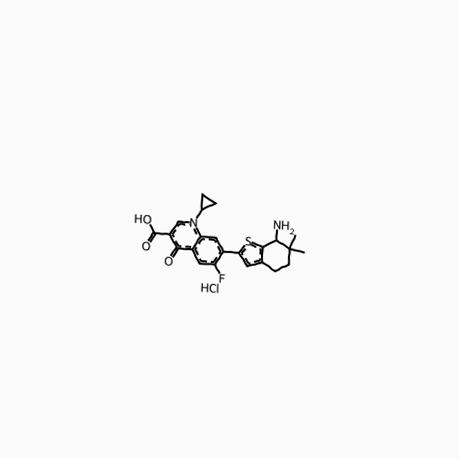 CC1(C)CCc2cc(-c3cc4c(cc3F)c(=O)c(C(=O)O)cn4C3CC3)sc2C1N.Cl